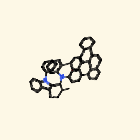 CC1CC=c2c(n(-c3ccccc3)c3ccccc23)=C1N(c1ccc(-c2cccc3ccc4c5ccccc5ccc4c23)cc1)c1ccccc1-c1ccccc1